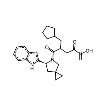 O=C(CC(CC1CCCC1)C(=O)N1CC2(CC2)C[C@H]1c1nc2ccccc2[nH]1)NO